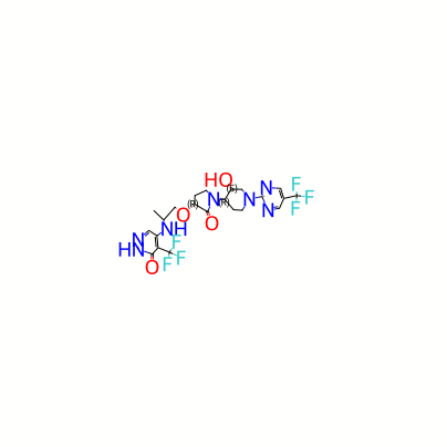 CC(CO[C@@H]1CCN([C@@H]2CCN(c3ncc(C(F)(F)F)cn3)C[C@@H]2O)C1=O)Nc1cn[nH]c(=O)c1C(F)(F)F